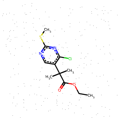 CCOC(=O)C(C)(C)c1cnc(SC)nc1Cl